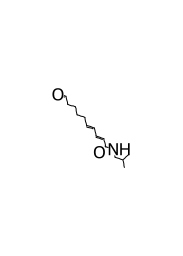 CC(C)CNC(=O)C=CC=CCCCCC=O